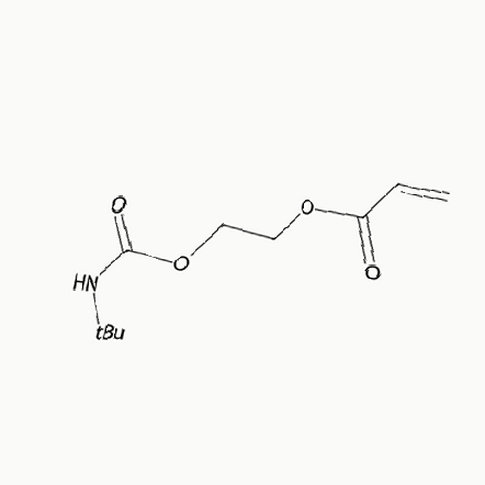 C=CC(=O)OCCOC(=O)NC(C)(C)C